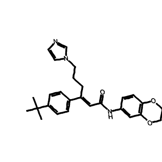 CC(C)(C)c1ccc(/C(=C/C(=O)Nc2ccc3c(c2)OCCO3)CCCn2ccnc2)cc1